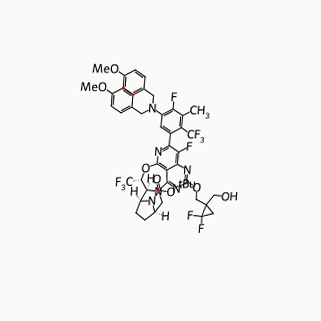 COc1ccc(CN(Cc2ccc(OC)cc2)c2cc(-c3nc4c5c(nc(OCC6(CO)CC6(F)F)nc5c3F)N3C[C@H]5CC[C@@H]([C@H]3[C@H](C(F)(F)F)O4)N5C(=O)OC(C)(C)C)c(C(F)(F)F)c(C)c2F)cc1